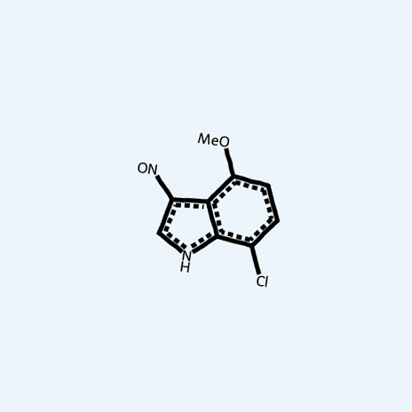 COc1ccc(Cl)c2[nH]cc(N=O)c12